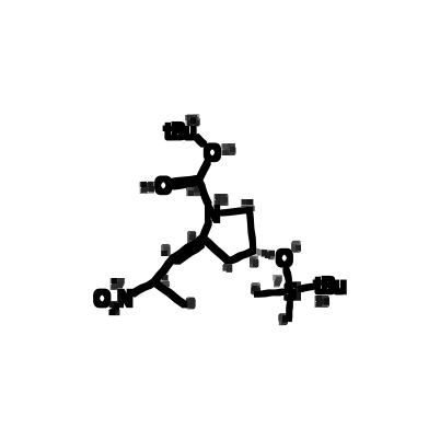 CC(C=C1C[C@@H](O[Si](C)(C)C(C)(C)C)CN1C(=O)OC(C)(C)C)[N+](=O)[O-]